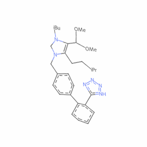 CCC(C)N1CN(Cc2ccc(-c3ccccc3-c3nnn[nH]3)cc2)C(CCC(C)C)=C1C(OC)OC